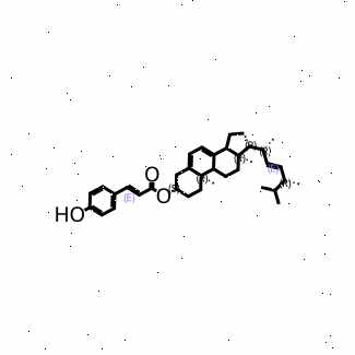 CC(C)[C@@H](C)/C=C/[C@@H](C)[C@H]1CCC2C3=CC=C4C[C@@H](OC(=O)/C=C/c5ccc(O)cc5)CC[C@]4(C)C3CC[C@@]21C